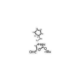 CC(C)(C)OC(=O)N[C@H](C=CC=O)CCc1ccccc1